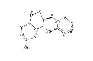 Oc1ccc2c(c1)[C@@H](O)[C@H](Cc1ccncc1)CO2